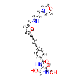 CC(O)C(NC(=O)c1ccc(C#CC#Cc2ccc(CNCCCN3CCOCC3)o2)cc1)C(=O)NO